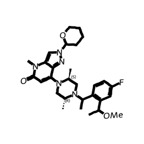 COC(C)c1cc(F)ccc1C(C)N1C[C@H](C)N(c2cc(=O)n(C)c3cn(C4CCCCO4)nc23)C[C@H]1C